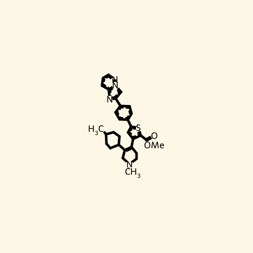 COC(=O)c1sc(-c2ccc(-c3cn4ncccc4n3)cc2)cc1C1=C(C2CCC(C)CC2)CN(C)CC1